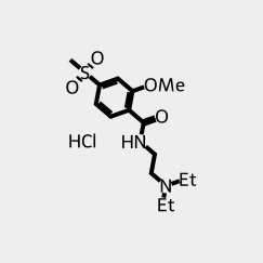 CCN(CC)CCNC(=O)c1ccc(S(C)(=O)=O)cc1OC.Cl